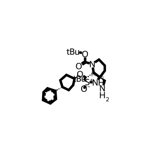 CC(C)(C)OC(=O)N1CCC[C@](CN)(N[S+]([O-])C(C)(C)C)[C@@H]1CO[C@H]1CC[C@@H](c2ccccc2)CC1